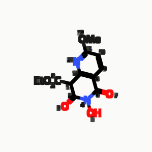 CCOC(=O)C1C(=O)N(O)C(=O)c2ccc(OC)nc21